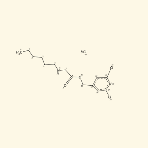 CCCCCCNCC(=O)OCc1cc(Cl)nc(Cl)c1.Cl